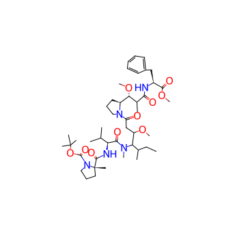 CCC(C)C(C(CC(=O)N1CCC[C@H]1[C@H](OC)C(C)C(=O)N[C@@H](Cc1ccccc1)C(=O)OC)OC)N(C)C(=O)[C@@H](NC(=O)[C@]1(C)CCCN1C(=O)OC(C)(C)C)C(C)C